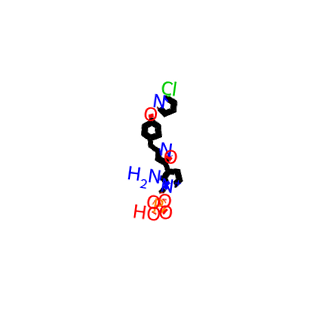 Nc1c(-c2cc(Cc3ccc(Oc4cccc(Cl)n4)cc3)no2)ccc[n+]1COP(=O)([O-])O